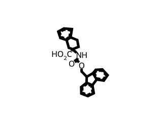 O=C(N[C@@]1(C(=O)O)CCc2ccccc2C1)OCC1c2ccccc2-c2ccccc21